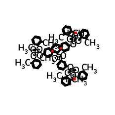 Cc1cccc(C)c1OP(=O)(Oc1cccc(O[Si](Oc2cccc(OP(=O)(Oc3c(C)cccc3C)Oc3c(C)cccc3C)c2)(c2ccccc2)c2cccc(OP(=O)(Oc3c(C)cccc3C)Oc3c(C)cccc3C)c2)c1)Oc1c(C)cccc1C